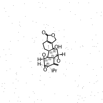 C=C1[C@@]2(C(C)C)O[C@H]2[C@@H]2O[C@@]23[C@@]2(C)CCC4=C(COC4=O)[C@]2(O)C[C@@H]2O[C@@]123